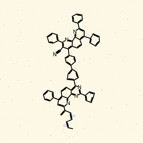 C=C(/C=C\C=C/C)c1cc(-c2ccccc2)c2ccc3c(-c4ccc(-c5ccc(-c6c(C#N)c(-c7ccccc7)nc7c6ccc6c(-c8ccccc8)cc(-c8ccccc8)nc67)cc5)cc4)nc(-c4ccccc4)nc3c2n1